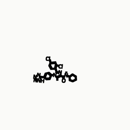 Cc1c(C(=O)N(C)C2CCCCC2)nc(-c2ccc(Cl)cc2Cl)n1-c1ccc(-c2nnn[nH]2)cc1